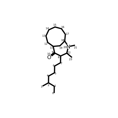 CCC(C)CCCCC1C(=O)C2CCCCCCC(C2)N(C)C1C